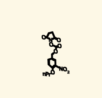 CCCOc1ccc(COC(=O)ON2C(=O)CCC2=O)cc1[N+](=O)[O-]